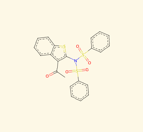 CC(=O)c1c(N(S(=O)(=O)c2ccccc2)S(=O)(=O)c2ccccc2)sc2ccccc12